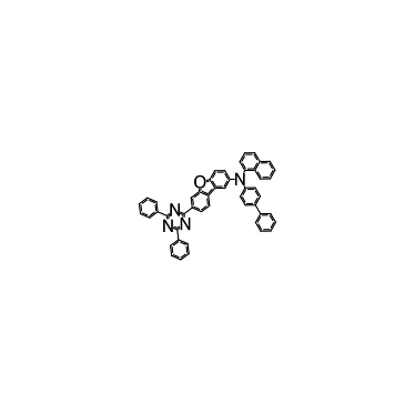 c1ccc(-c2ccc(N(c3ccc4oc5cc(-c6nc(-c7ccccc7)nc(-c7ccccc7)n6)ccc5c4c3)c3cccc4ccccc34)cc2)cc1